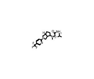 CC(C)C[C@@H](C(N)=O)N(C)C1CC[C@H]2CN(c3ccc(C(F)(F)F)cn3)CC12